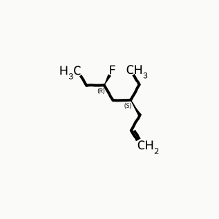 C=CC[C@H](CC)C[C@H](F)CC